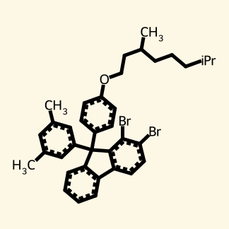 Cc1cc(C)cc(C2(c3ccc(OCCC(C)CCCC(C)C)cc3)c3ccccc3-c3ccc(Br)c(Br)c32)c1